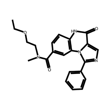 CCOCCN(C)C(=O)c1ccc2[nH]c(=O)c3cnc(-c4ccccc4)n3c2c1